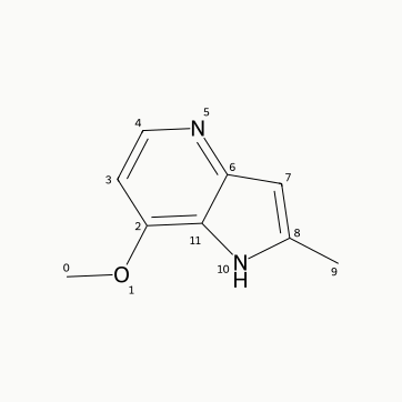 COc1ccnc2cc(C)[nH]c12